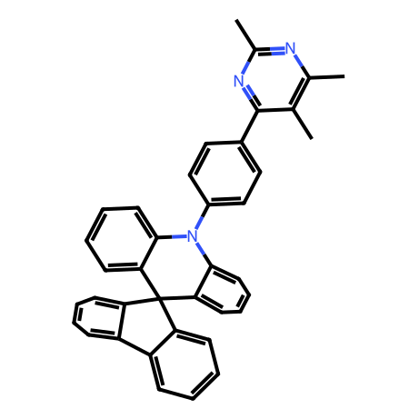 Cc1nc(C)c(C)c(-c2ccc(N3c4ccccc4C4(c5ccccc5-c5ccccc54)c4ccccc43)cc2)n1